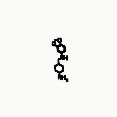 NC1CCC(CNc2ccc3c(c2)OCO3)CC1